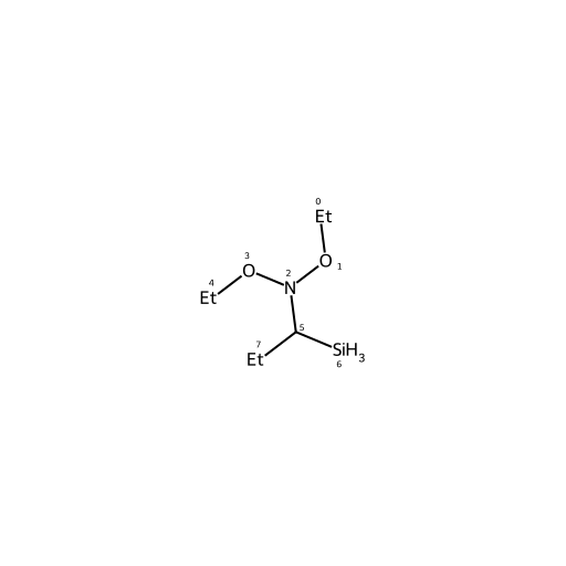 CCON(OCC)C([SiH3])CC